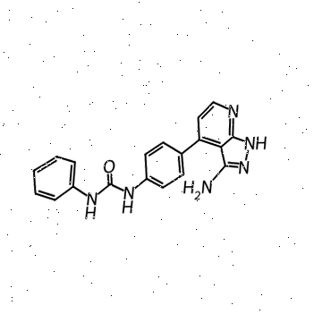 Nc1n[nH]c2nccc(-c3ccc(NC(=O)Nc4ccccc4)cc3)c12